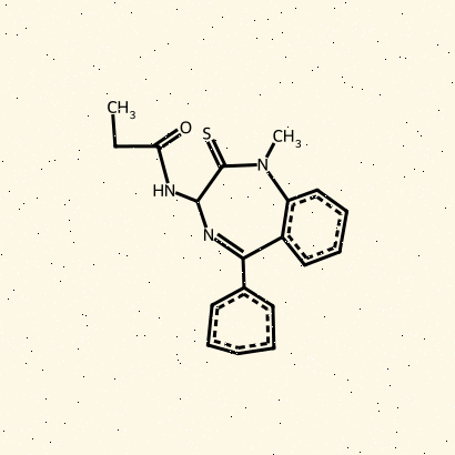 CCC(=O)NC1N=C(c2ccccc2)c2ccccc2N(C)C1=S